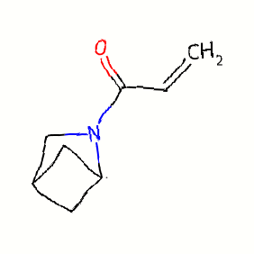 C=CC(=O)N1CC2C[C]1C2